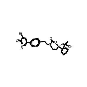 CCc1cc(-c2ccc(CCN3CC[C@](CC(C)(C)O)(c4ccccc4)OC3=O)cc2)c[nH]c1=O